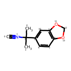 [C-]#[N+]C(C)(C)c1ccc2c(c1)OCO2